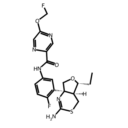 CC[C@H]1OC[C@]2(c3cc(NC(=O)c4cnc(OCF)cn4)ccc3F)N=C(N)SC[C@H]12